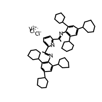 CC(=Nc1c(C2CCCCC2)cc(C2CCCCC2)cc1C1CCCCC1)c1cccc(C(C)=Nc2c(C3CCCCC3)cc(C3CCCCC3)cc2C2CCCCC2)n1.[Cl-].[Cl-].[V+2]